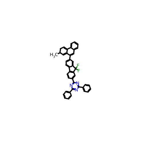 CC1C=c2c(-c3ccc4c(c3)C(F)(F)c3cc(-c5nc(-c6ccccc6)nc(-c6ccccc6)n5)ccc3-4)cc3ccccc3c2=CC1